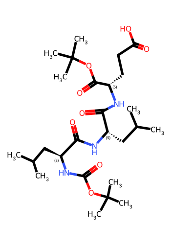 CC(C)C[C@H](NC(=O)OC(C)(C)C)C(=O)N[C@@H](CC(C)C)C(=O)N[C@@H](CCC(=O)O)C(=O)OC(C)(C)C